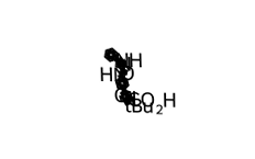 CC(C)(C)C1COC(c2ccc(NC(=O)c3cc(-c4ccccc4)[nH]n3)cc2)CN1C(=O)O